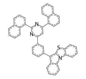 c1cc(-c2cc(-c3cccc4ccccc34)nc(-c3cccc4ccccc34)n2)cc(-c2c3ccccc3n3c2sc2ccccc23)c1